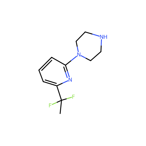 CC(F)(F)c1cccc(N2CCNCC2)n1